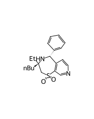 CCCC[C@]1(CC)CS(=O)(=O)c2cnccc2[C@@H](c2ccccc2)N1